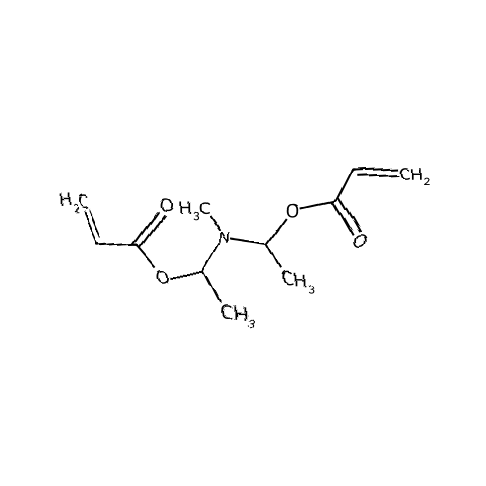 C=CC(=O)OC(C)N(C)C(C)OC(=O)C=C